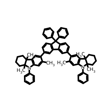 Cc1cc2c(cc1-c1ccc3c(c1)-c1cc(-c4cc5c(cc4C)N(c4ccccc4)C4(C)CCCCC54C)ccc1C3(c1ccccc1)c1ccccc1)C1(C)CCCCC1(C)N2c1ccccc1